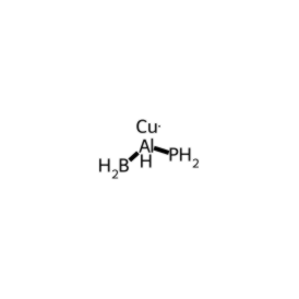 [BH2][AlH][PH2].[Cu]